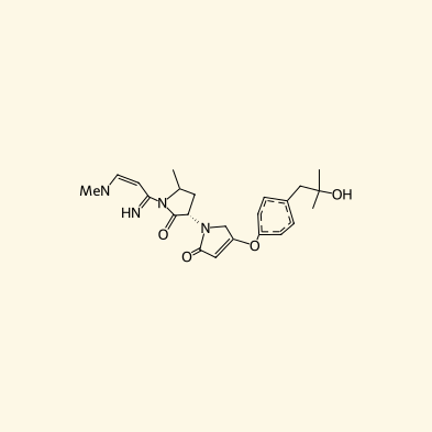 CN/C=C\C(=N)N1C(=O)[C@@H](N2CC(Oc3ccc(CC(C)(C)O)cc3)=CC2=O)CC1C